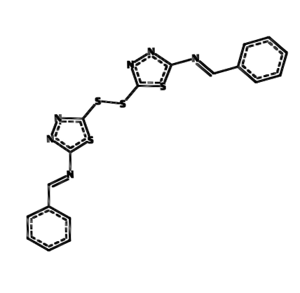 C(=Nc1nnc(SSc2nnc(N=Cc3ccccc3)s2)s1)c1ccccc1